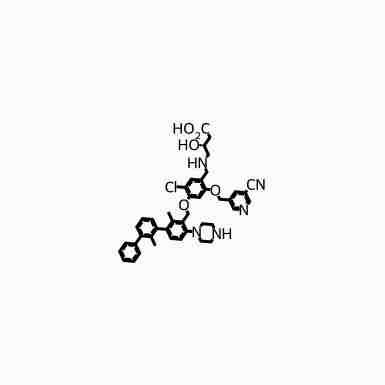 Cc1c(-c2ccccc2)cccc1-c1ccc(N2CCNCC2)c(COc2cc(OCc3cncc(C#N)c3)c(CNC[C@@H](O)CC(=O)O)cc2Cl)c1C